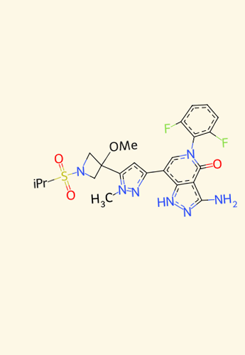 COC1(c2cc(-c3cn(-c4c(F)cccc4F)c(=O)c4c(N)n[nH]c34)nn2C)CN(S(=O)(=O)C(C)C)C1